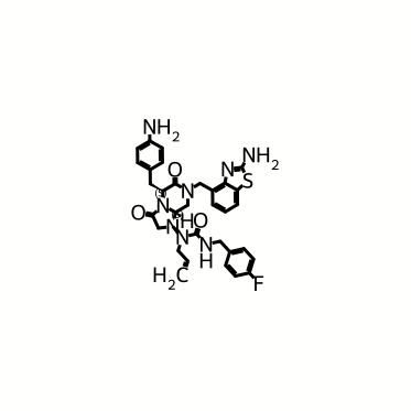 C=CCN(C(=O)NCc1ccc(F)cc1)N1CC(=O)N2[C@@H](Cc3ccc(N)cc3)C(=O)N(Cc3cccc4sc(N)nc34)C[C@@H]21